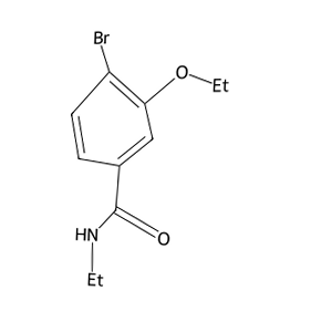 CCNC(=O)c1ccc(Br)c(OCC)c1